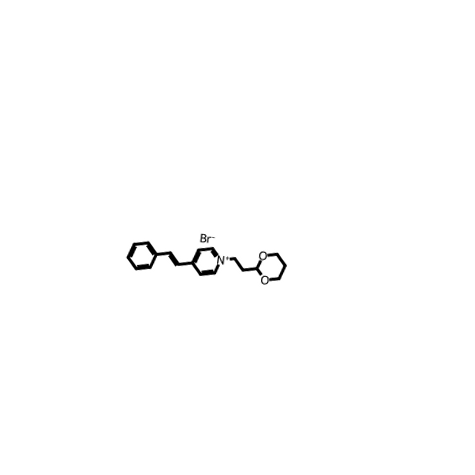 C(=Cc1cc[n+](CCC2OCCCO2)cc1)c1ccccc1.[Br-]